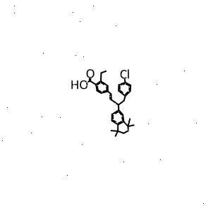 CCc1cc(/C=C/C(Cc2ccc(Cl)cc2)c2ccc3c(c2)C(C)(C)CCC3(C)C)ccc1C(=O)O